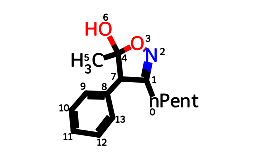 CCCCCC1=NOC(C)(O)C1c1ccccc1